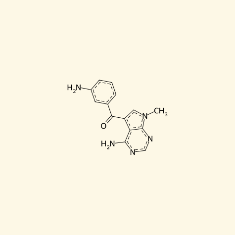 Cn1cc(C(=O)c2cccc(N)c2)c2c(N)ncnc21